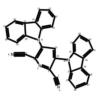 N#Cc1nc(C#N)c(-n2c3ccccc3c3ccccc32)cc1-n1c2ccccc2c2ccccc21